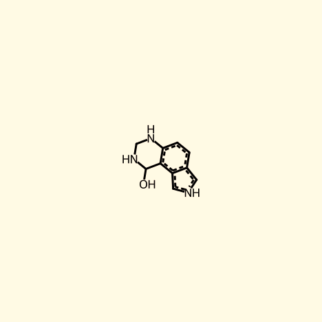 OC1NCNc2ccc3c[nH]cc3c21